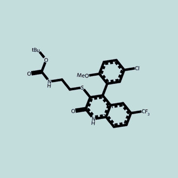 COc1ccc(Cl)cc1-c1c(SCCNC(=O)OC(C)(C)C)c(=O)[nH]c2ccc(C(F)(F)F)cc12